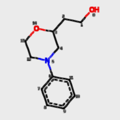 OCCC1CN(c2ccccc2)CCO1